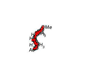 COCCOC(=O)c1ccc(C(=O)OC(C)(C)Cc2ccccc2C(=O)NCc2cccc(CNC(=O)c3ccccc3COC(=O)c3cccc(C(=O)C(C)(C)OCCOC(=O)c4ccc(C(C)=O)cc4)c3)c2)cc1